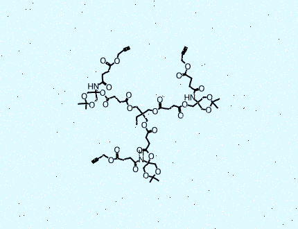 C#CCOC(=O)CCC(=O)NC1(COC(=O)CCC(=O)OCC(CC)(COC(=O)CCC(=O)OC2(NC(=O)CCC(=O)OCC#C)COC(C)(C)OC2)COC(=O)CCC(=O)OC2(NC(=O)CCC(=O)OCC#C)COC(C)(C)OC2)COC(C)(C)OC1